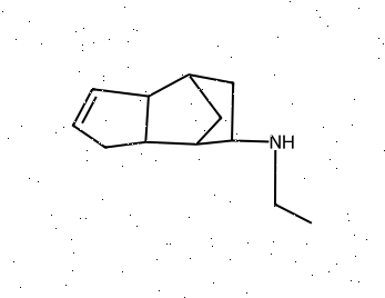 CCNC1CC2CC1C1CC=CC21